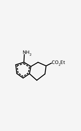 CCOC(=O)C1CCc2cccc(N)c2C1